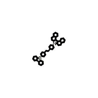 C(=C\c1ccc(-n2c3ccc4ccccc4c3c3c4ccccc4ccc32)cc1)/c1ccc(B2c3ccccc3-c3ccccc32)cc1